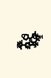 Cc1cc(C(C2CCOCC2)n2c3cc(-c4c(C)nnn4C)cnc3c3snc(C(C)(C)O)c32)on1